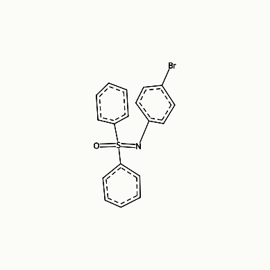 O=S(=Nc1ccc(Br)cc1)(c1ccccc1)c1ccccc1